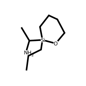 CCC[Si]1(C(C)N)CCCCO1